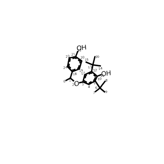 CC(Oc1cc(C(C)(C)C)c(O)c(C(C)(C)C)c1)c1ccc(O)cc1